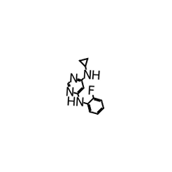 Fc1ccccc1Nc1cc(NC2CC2)ncn1